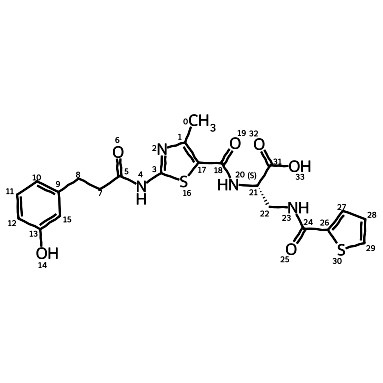 Cc1nc(NC(=O)CCc2cccc(O)c2)sc1C(=O)N[C@@H](CNC(=O)c1cccs1)C(=O)O